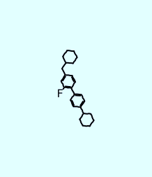 Fc1cc(CC2CCCCC2)ccc1-c1ccc(C2CCCCC2)cc1